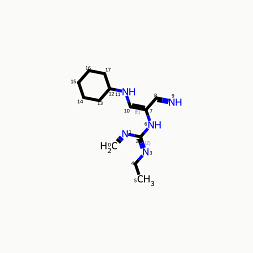 C=N/C(=N\CC)N/C(C=N)=C/NC1CCCCC1